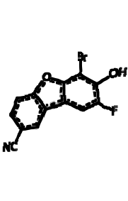 N#Cc1ccc2oc3c(Br)c(O)c(F)cc3c2c1